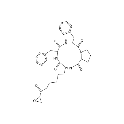 O=C1NC(Cc2ccccc2)C(=O)N2CCCC2C(=O)NC(CCCCCC(=O)C2CO2)C(=O)NC1Cc1ccccc1